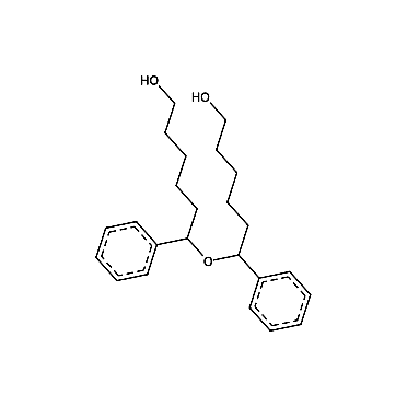 OCCCCCC(OC(CCCCCO)c1ccccc1)c1ccccc1